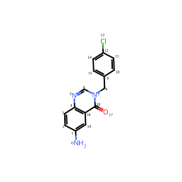 Nc1ccc2ncn(Cc3ccc(Cl)cc3)c(=O)c2c1